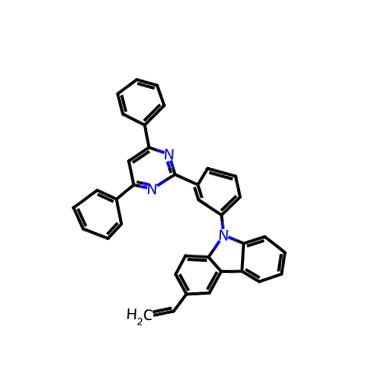 C=Cc1ccc2c(c1)c1ccccc1n2-c1cccc(-c2nc(-c3ccccc3)cc(-c3ccccc3)n2)c1